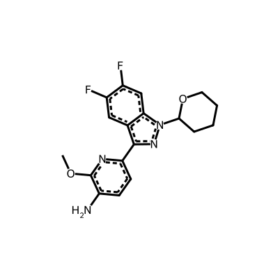 COc1nc(-c2nn(C3CCCCO3)c3cc(F)c(F)cc23)ccc1N